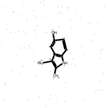 Cc1[nH]c2ccc(O)cc2c1C(C)(C)C